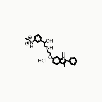 Cc1c(-c2ccccc2)[nH]c2cc(OCCNCC(O)c3cccc(NS(C)(=O)=O)c3)ccc12.Cl